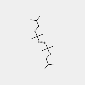 CC(C)COC(C)(C)N=NC(C)(C)OCC(C)C